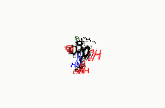 Cc1cc(-c2c(C3CCOCC3)nc(C(=O)N[C@@H](CO)C(=O)O)c3cc(O)ccc23)ccc1F